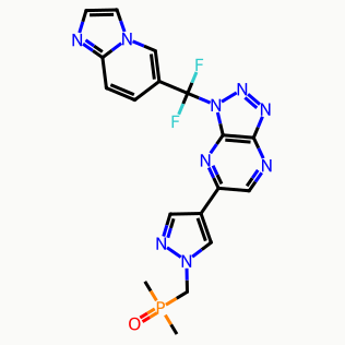 CP(C)(=O)Cn1cc(-c2cnc3nnn(C(F)(F)c4ccc5nccn5c4)c3n2)cn1